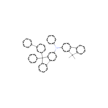 CC1(C)c2ccccc2-c2ccc(N(c3ccccc3)c3ccc4c(c3)C(c3ccccc3)(c3cccc(-c5ccccc5)c3)c3ccccc3-4)cc21